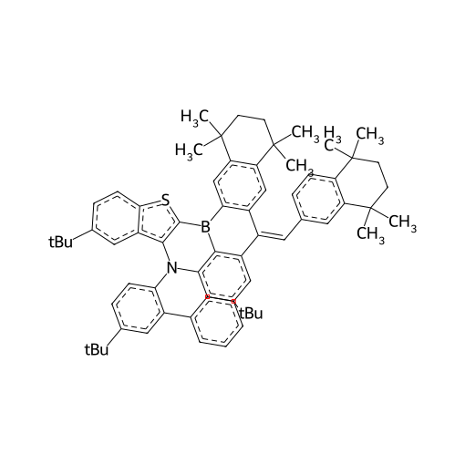 CC(C)(C)c1ccc(N2c3cc(C(C)(C)C)cc4c3B(c3cc5c(cc3/C4=C\c3ccc4c(c3)C(C)(C)CCC4(C)C)C(C)(C)CCC5(C)C)c3sc4ccc(C(C)(C)C)cc4c32)c(-c2ccccc2)c1